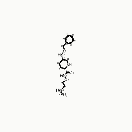 O=C(NOCCNP)[C@@H]1CC[C@@H](NOCc2ccccc2)CN1